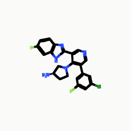 N[C@H]1CCN(c2c(-c3cc(F)cc(Cl)c3)cncc2-c2nc3ccc(F)cc3[nH]2)C1